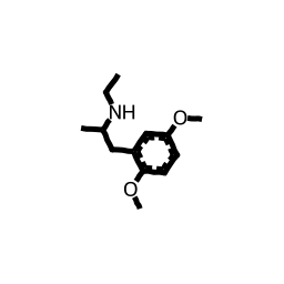 CCNC(C)Cc1cc(OC)ccc1OC